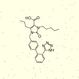 CCCCCn1c(C(=O)O)c(CCC)n(Cc2ccc(-c3ccccc3-c3nnn[nH]3)cc2)c1=O